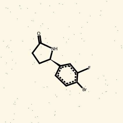 O=C1CC[C@H](c2ccc(Br)c(F)c2)N1